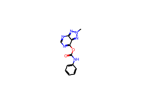 Cn1nc2ncnc(OC(=O)Nc3ccccc3)c2n1